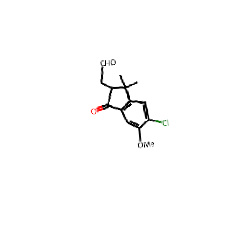 COc1cc2c(cc1Cl)C(C)(C)C(CC=O)C2=O